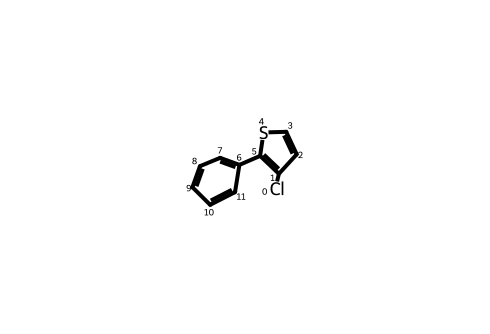 Clc1ccsc1-c1ccccc1